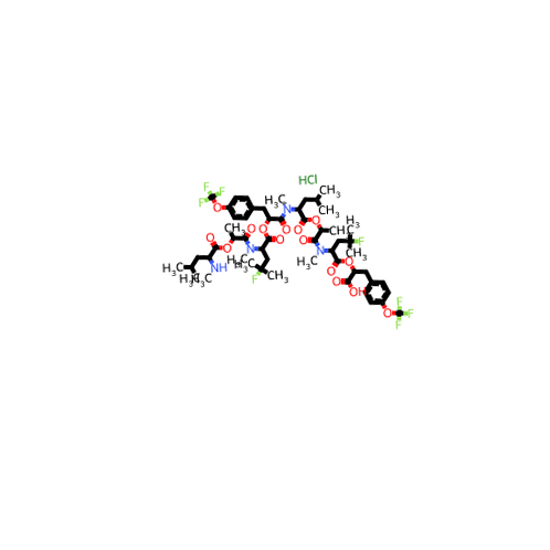 CNC(CC(C)C)C(=O)OC(C)C(=O)N(C)C(CC(C)(C)F)C(=O)OC(Cc1ccc(OC(F)(F)F)cc1)C(=O)N(C)C(CC(C)C)C(=O)OC(C)C(=O)N(C)C(CC(C)(C)F)C(=O)OC(Cc1ccc(OC(F)(F)F)cc1)C(=O)O.Cl